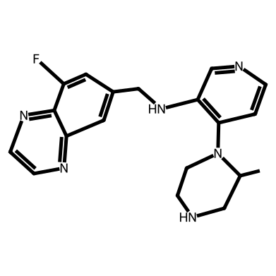 CC1CNCCN1c1ccncc1NCc1cc(F)c2nccnc2c1